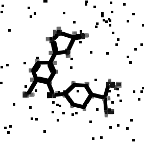 CC(C)(C)N(C(=O)O)C1CCC(Nc2cc(-c3n[nH]c(=O)o3)ccc2Br)CC1